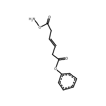 NOC(=O)CC=CCC(=O)Oc1ccccc1